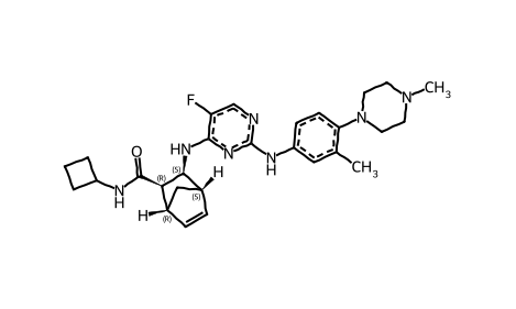 Cc1cc(Nc2ncc(F)c(N[C@@H]3[C@H](C(=O)NC4CCC4)[C@H]4C=C[C@@H]3C4)n2)ccc1N1CCN(C)CC1